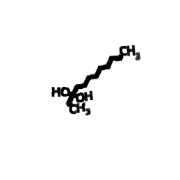 CCCCCCCCCC(O)(O)CC